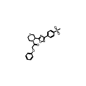 CS(=O)(=O)c1ccc(-c2noc(C3CSCCN3C(=O)COc3ccccc3)n2)cc1